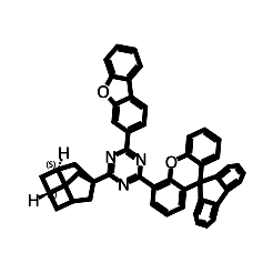 c1ccc2c(c1)Oc1c(-c3nc(-c4ccc5c(c4)oc4ccccc45)nc(C45CC6C[C@@H]7C[C@@H](C4)C67C5)n3)cccc1C21c2ccccc2-c2ccccc21